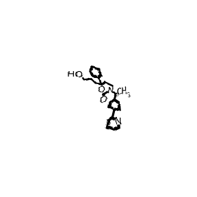 C[C@@H](c1ccc(-c2ccccn2)cc1)N1CCC(CCCO)(c2ccccc2)OC1=O